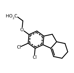 O=C(O)COc1cc2c(c(Cl)c1Cl)C1=CCCCC1C2